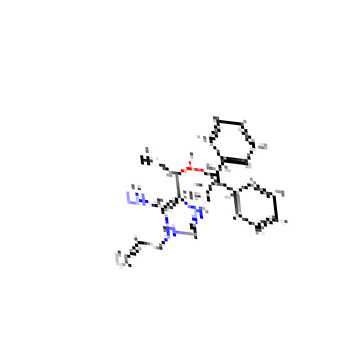 C=CCn1cnc([C@@H](C#N)O[Si](c2ccccc2)(c2ccccc2)C(C)(C)C)c1N